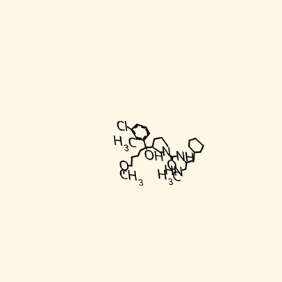 CNCC(CC1CCCCC1)NC(=O)N1CCCC([C@](O)(CCCCOC)c2cccc(Cl)c2C)C1